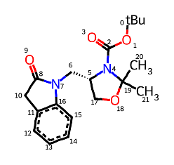 CC(C)(C)OC(=O)N1[C@@H](CN2C(=O)Cc3ccccc32)COC1(C)C